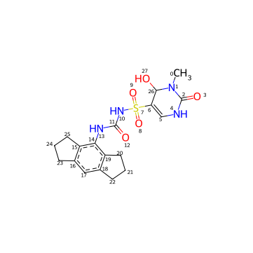 CN1C(=O)NC=C(S(=O)(=O)NC(=O)Nc2c3c(cc4c2CCC4)CCC3)C1O